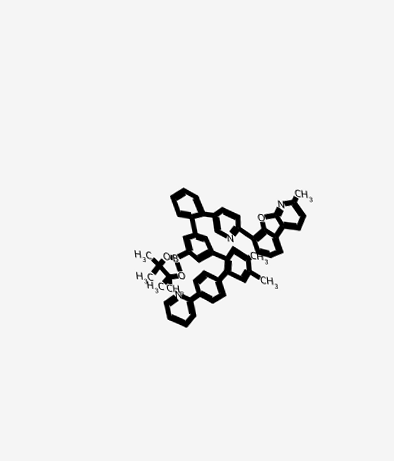 Cc1ccc2c(n1)oc1c(-c3ccc(-c4ccccc4-c4cc(B5OC(C)(C)C(C)(C)O5)cc(-c5cc(C)c(C)cc5-c5ccc(-c6ccccn6)cc5)c4)cn3)cccc12